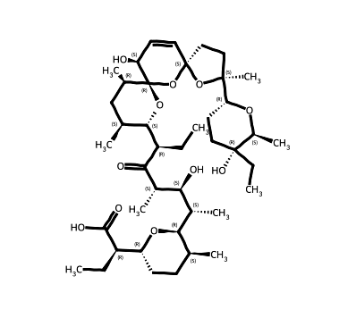 CC[C@@H](C(=O)[C@@H](C)[C@@H](O)[C@H](C)[C@@H]1O[C@@H]([C@@H](CC)C(=O)O)CC[C@@H]1C)[C@H]1O[C@@]2(O[C@]3(C=C[C@@H]2O)CC[C@@](C)([C@H]2CC[C@](O)(CC)[C@H](C)O2)O3)[C@H](C)C[C@@H]1C